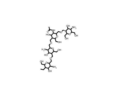 CCC1C(CO)OC(COCC2C(CO)OC(COCC3C(CO)OC(COC[C@@H]4C(CO)OC(CO)C(N)C4O)C(NC(C)=O)C3O)C(N)C2O)C(N)C1O